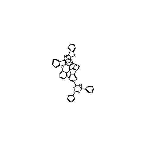 c1ccc(-c2nc(-c3ccccc3)nc(-c3ccc4c(c3)-c3cccc(-c5nc(-c6ccccc6)nc6c5sc5ccccc56)c3C43c4ccccc4Oc4ccccc43)n2)cc1